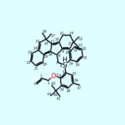 C=CCOc1c([SiH](CC2C3=CC(C)(C)CCC3=C3C2=c2ccccc2=CC3(C)C)c2ccccc2)cc(C)cc1C(C)(C)C